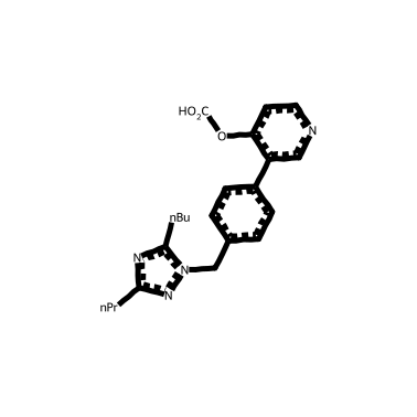 CCCCc1nc(CCC)nn1Cc1ccc(-c2cnccc2OC(=O)O)cc1